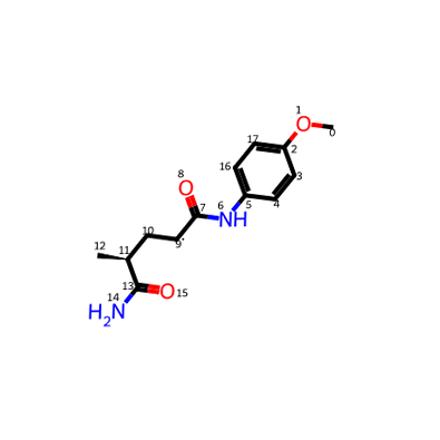 COc1ccc(NC(=O)[CH]C[C@H](C)C(N)=O)cc1